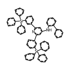 c1ccc(-c2ccccc2Nc2cc(-c3cccc([Si](c4ccccc4)(c4ccccc4)c4ccccc4)c3)nc(-c3cccc([Si](c4ccccc4)(c4ccccc4)c4ccccc4)c3)c2)cc1